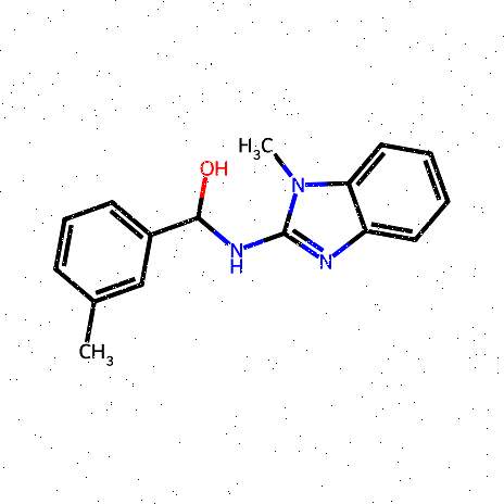 Cc1cccc(C(O)Nc2nc3ccccc3n2C)c1